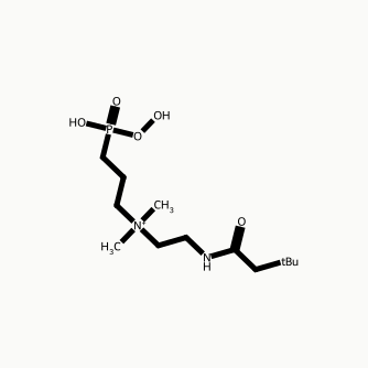 CC(C)(C)CC(=O)NCC[N+](C)(C)CCCP(=O)(O)OO